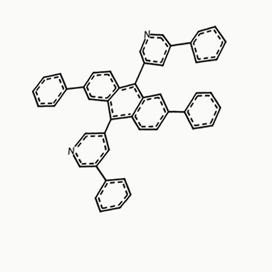 c1ccc(-c2cncc(-c3c4ccc(-c5ccccc5)cc4c(-c4cncc(-c5ccccc5)c4)c4ccc(-c5ccccc5)cc34)c2)cc1